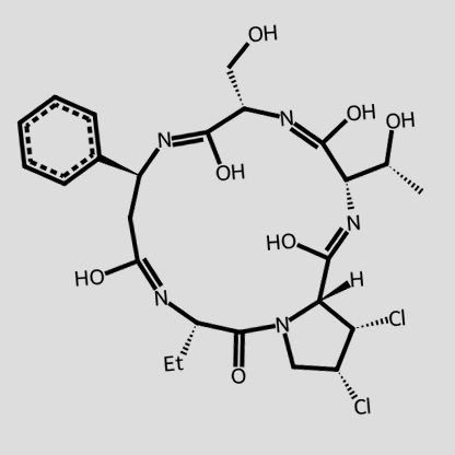 CC[C@@H]1/N=C(/O)C[C@@H](c2ccccc2)/N=C(\O)[C@H](CO)/N=C(/O)[C@H]([C@@H](C)O)/N=C(\O)[C@@H]2[C@H](Cl)[C@H](Cl)CN2C1=O